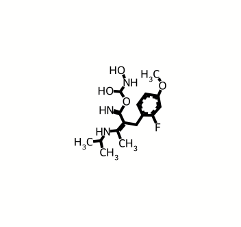 COc1ccc(C/C(C(=N)OC(O)NO)=C(\C)NC(C)C)c(F)c1